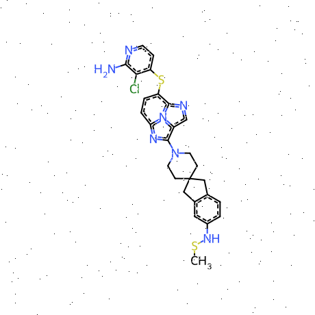 CSNc1ccc2c(c1)CC1(CCN(c3nc4ccc(Sc5ccnc(N)c5Cl)c5ncc3n45)CC1)C2